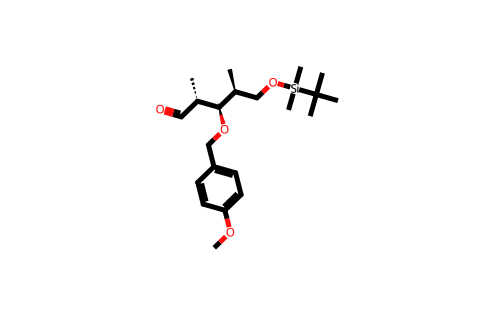 COc1ccc(CO[C@@H]([C@@H](C)C=O)[C@@H](C)CO[Si](C)(C)C(C)(C)C)cc1